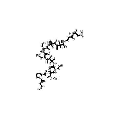 CCCCCCCC[C@H](NC(=O)[C@@H]1CCCN1C(=O)CC[C@@H](C)CC)C(=O)NC(CO)C(=O)NC(C)(C)C(=O)N[C@@H](CC(C)C)C(=O)N[C@@H](CC(C)C)C(=O)NC(C)(C)C(=O)NC(C)(C)C(=O)NCCC(=O)N[C@@H](C)CN(C)C